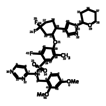 COc1ccc(CN(c2ccncn2)S(=O)(=O)c2cc(C)c(OC3CC(F)(F)CCC3c3cnn(C4CCCCO4)c3)cc2F)c(OC)c1